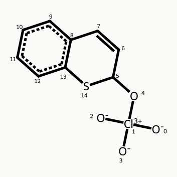 [O-][Cl+3]([O-])([O-])OC1C=Cc2ccccc2S1